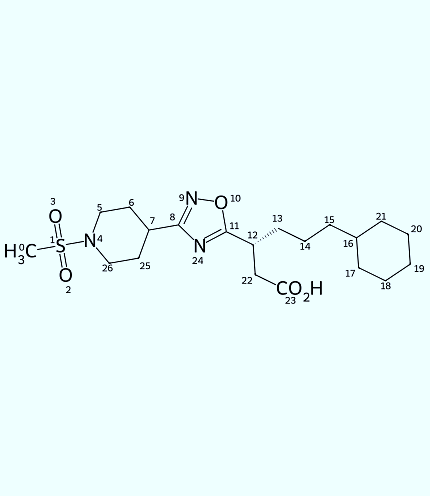 CS(=O)(=O)N1CCC(c2noc([C@H](CCCC3CCCCC3)CC(=O)O)n2)CC1